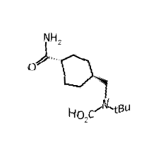 CC(C)(C)N(C[C@H]1CC[C@H](C(N)=O)CC1)C(=O)O